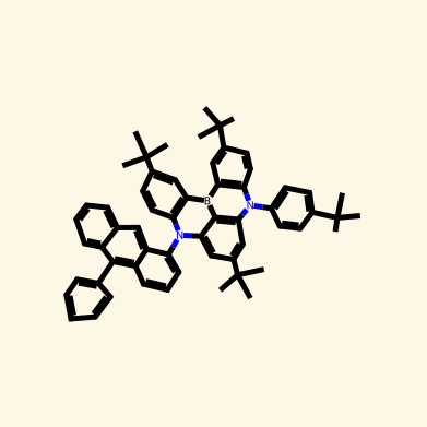 CC(C)(C)c1ccc(N2c3ccc(C(C)(C)C)cc3B3c4cc(C(C)(C)C)ccc4N(c4cccc5c(-c6ccccc6)c6ccccc6cc45)c4cc(C(C)(C)C)cc2c43)cc1